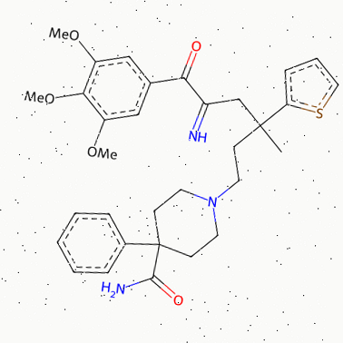 COc1cc(C(=O)C(=N)CC(C)(CCN2CCC(C(N)=O)(c3ccccc3)CC2)c2cccs2)cc(OC)c1OC